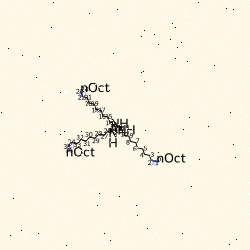 CCCCCCCC/C=C\CCCCCCCCN[As](NCCCCCCCC/C=C\CCCCCCCC)NCCCCCCCC/C=C\CCCCCCCC